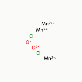 [Cl-].[Cl-].[Mn+2].[Mn+2].[Mn+2].[O-2].[O-2]